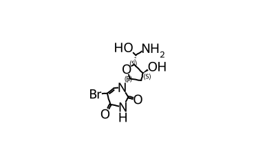 NC(O)[C@H]1O[C@@H](n2cc(Br)c(=O)[nH]c2=O)C[C@@H]1O